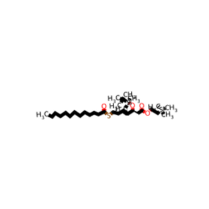 CCCCCCCCCCCCC(=O)SCC/C=C/[C@H](CC(=O)OCC[Si](C)(C)C)O[Si](C)(C)C(C)(C)C